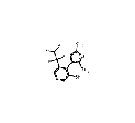 Cc1cc(-c2c(C(F)(F)C(F)Cl)[c]ccc2S)c(C)o1